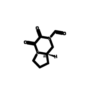 O=CN1C[C@H]2CCCN2C(=O)C1=O